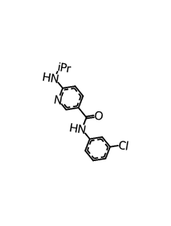 CC(C)Nc1ccc(C(=O)Nc2cccc(Cl)c2)cn1